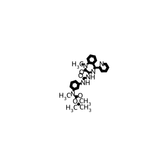 CN(C(=O)OC(C)(C)C)c1cccc(NC(=O)N[C@@H]2N=C(c3ccccn3)c3ccccc3N(C)C2=O)c1